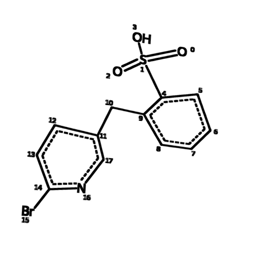 O=S(=O)(O)c1ccccc1Cc1ccc(Br)nc1